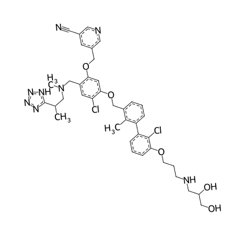 Cc1c(COc2cc(OCc3cncc(C#N)c3)c(CN(C)CC(C)c3nnn[nH]3)cc2Cl)cccc1-c1cccc(OCCCNCC(O)CO)c1Cl